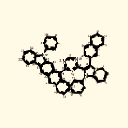 C1=CCN2C(=C1)N(c1ccccc1)C(c1ncnc(-c3c4ccccc4cc4cc5c6ccccc6n(-c6ccccc6)c5cc34)n1)=C2c1ccc2ccccc2c1